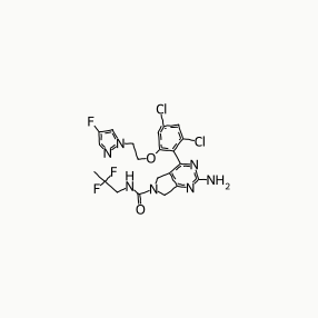 CC(F)(F)CNC(=O)N1Cc2nc(N)nc(-c3c(Cl)cc(Cl)cc3OCCn3cc(F)cn3)c2C1